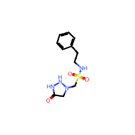 O=C1CN(CS(=O)(=O)NCCc2ccccc2)NN1